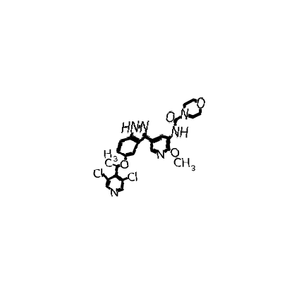 COc1ncc(-c2n[nH]c3ccc(O[C@H](C)c4c(Cl)cncc4Cl)cc23)cc1NC(=O)N1CCOCC1